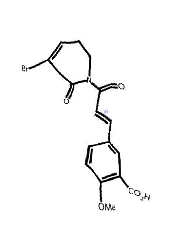 COc1ccc(/C=C/C(=O)N2CCC=C(Br)C2=O)cc1C(=O)O